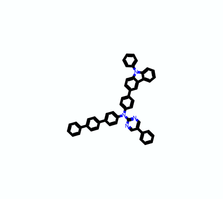 c1ccc(-c2ccc(-c3ccc(N(c4ccc(-c5ccc6c(c5)c5ccccc5n6-c5ccccc5)cc4)c4ncc(-c5ccccc5)cn4)cc3)cc2)cc1